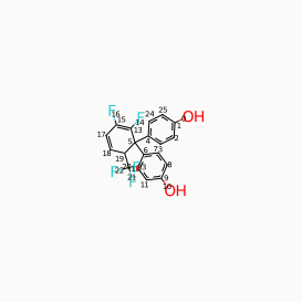 Oc1ccc(C2(c3ccc(O)cc3)C(F)=C(F)C=CC2C(F)(F)F)cc1